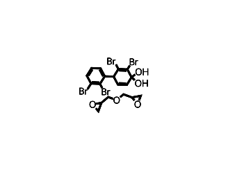 C(OCC1CO1)C1CO1.OC1(O)C=CC(c2cccc(Br)c2Br)C(Br)=C1Br